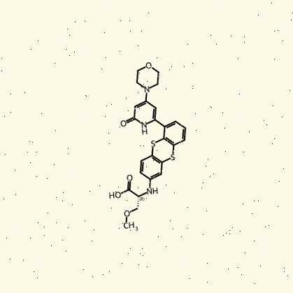 COC[C@@H](Nc1ccc2c(c1)Sc1cccc(-c3cc(N4CCOCC4)cc(=O)[nH]3)c1S2)C(=O)O